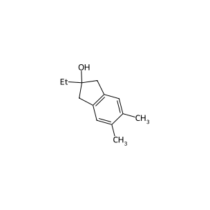 [CH2]CC1(O)Cc2cc(C)c(C)cc2C1